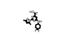 Cc1cc(C)n(-c2nc(NC3CCC(F)(F)CC3)cc([C@H](C)O)n2)n1